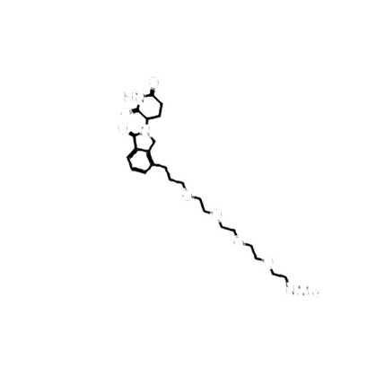 CNCCOCCOCCOCCOCCCc1cccc2c1CN(C1CCC(=O)NC1=O)C2=O